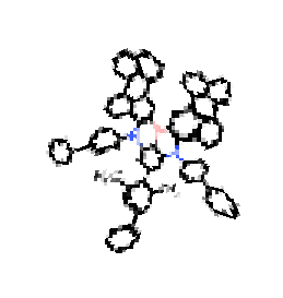 Cc1cc(-c2ccccc2)cc(C)c1-c1cc2c3c(c1)N(c1ccc(-c4ccccc4)cc1)c1c(cc4c5cccc6cccc(c7cccc1c74)c65)B3c1cc3c4cccc5cccc(c6cccc(c1N2c1ccc(-c2ccccc2)cc1)c63)c54